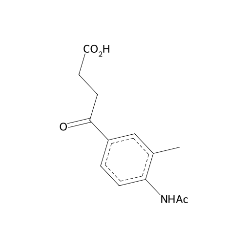 CC(=O)Nc1ccc(C(=O)CCC(=O)O)cc1C